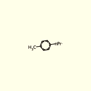 CC[CH]c1ccc(C)cc1